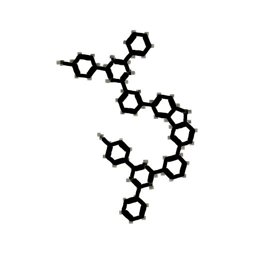 Fc1ccc(-c2nc(-c3ccccc3)nc(-c3cccc(-c4ccc5oc6ccc(-c7cccc(-c8nc(-c9ccccc9)nc(-c9ccc(F)cc9)n8)c7)cc6c5c4)c3)n2)cc1